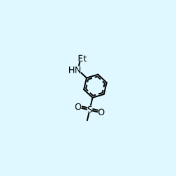 CCNc1cccc(S(C)(=O)=O)c1